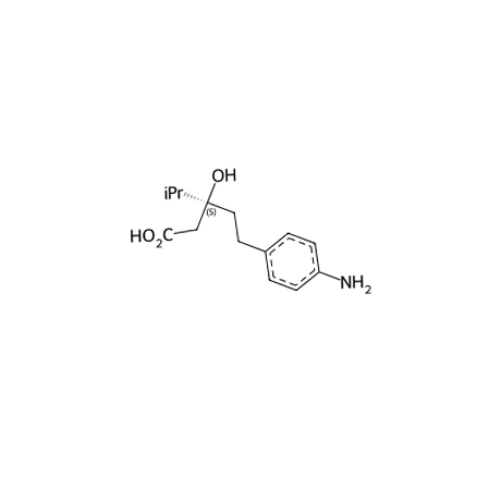 CC(C)[C@](O)(CCc1ccc(N)cc1)CC(=O)O